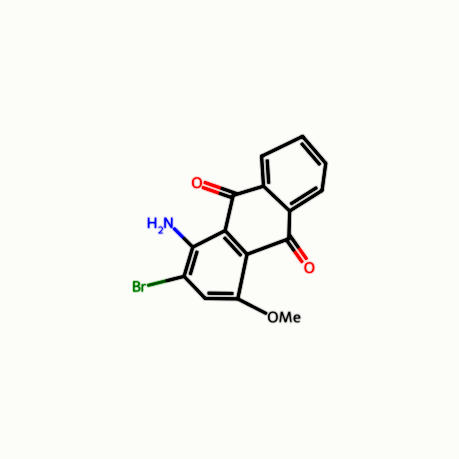 COc1cc(Br)c(N)c2c1C(=O)c1ccccc1C2=O